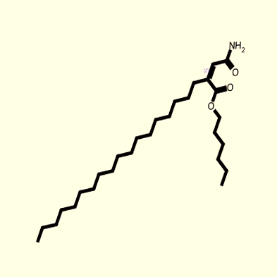 CCCCCCCCCCCCCCCCCC/C(=C/C(N)=O)C(=O)OCCCCCC